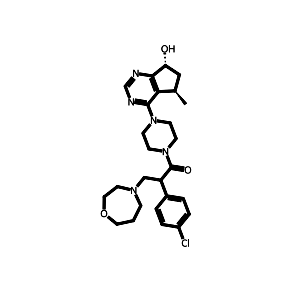 C[C@@H]1C[C@@H](O)c2ncnc(N3CCN(C(=O)C(CN4CCCOCC4)c4ccc(Cl)cc4)CC3)c21